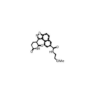 COCCNC(=O)c1ccc2c(ccc3onc(C4CCC(=O)NC4=O)c32)c1